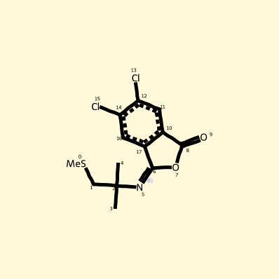 CSCC(C)(C)/N=C1/OC(=O)c2cc(Cl)c(Cl)cc21